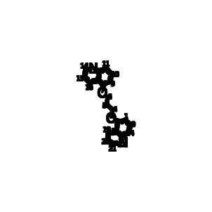 c1cc(OCCCOc2cccc3ncccc23)c2cccnc2c1